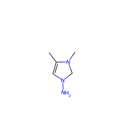 CC1=CN(N)CN1C